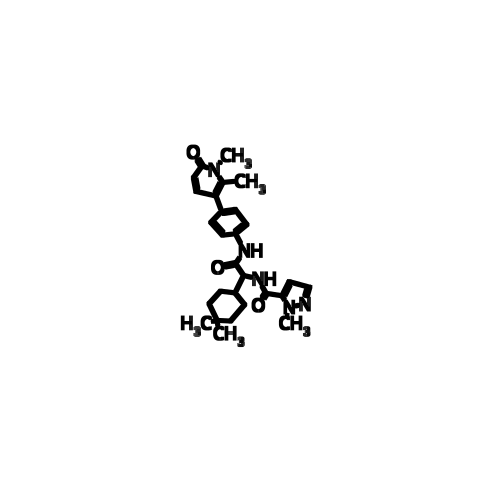 Cc1c(-c2ccc(NC(=O)C(NC(=O)c3ccnn3C)C3CCC(C)(C)CC3)cc2)ccc(=O)n1C